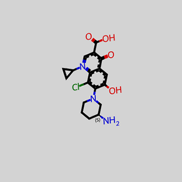 N[C@H]1CCCN(c2c(O)cc3c(=O)c(C(=O)O)cn(C4CC4)c3c2Cl)C1